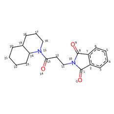 O=C1c2ccccc2C(=O)N1CCC(=O)N1CCCC2CCCCC21